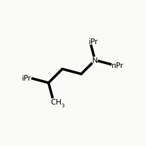 CCCN(CCC(C)C(C)C)C(C)C